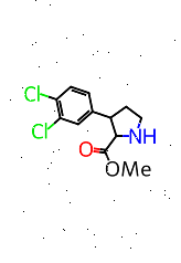 COC(=O)C1NCCC1c1ccc(Cl)c(Cl)c1